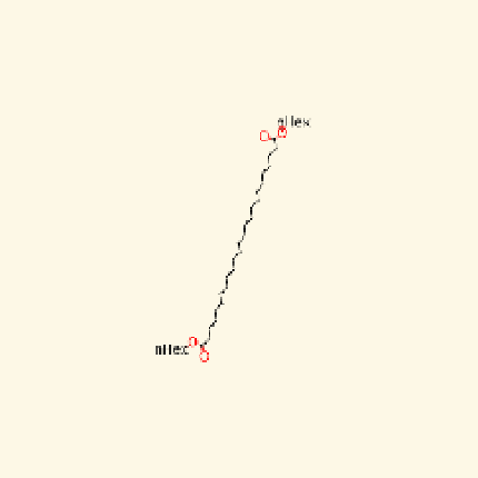 CCCCCCOC(=O)CCCCCCCCCCCCCCCCCCCCCCCC(=O)OCCCCCC